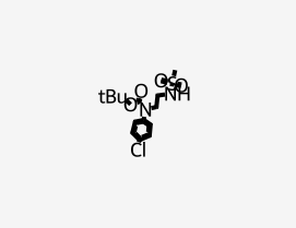 CC(C)(C)OC(=O)N(CCNS(C)(=O)=O)c1ccc(Cl)cc1